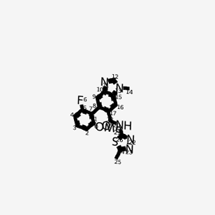 COc1cccc(F)c1-c1cc2ncn(C)c2cc1C(=O)Nc1nnc(C)s1